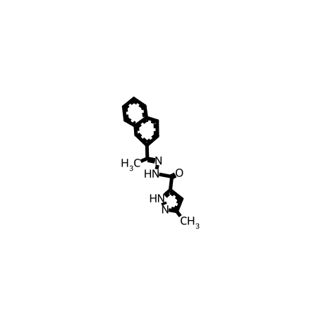 C/C(=N\NC(=O)c1cc(C)n[nH]1)c1ccc2ccccc2c1